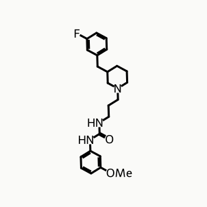 COc1cccc(NC(=O)NCCCN2CCCC(Cc3cccc(F)c3)C2)c1